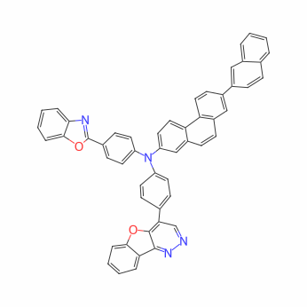 c1ccc2cc(-c3ccc4c(ccc5cc(N(c6ccc(-c7nc8ccccc8o7)cc6)c6ccc(-c7cnnc8c7oc7ccccc78)cc6)ccc54)c3)ccc2c1